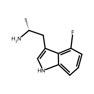 C[C@@H](N)Cc1c[nH]c2cccc(F)c12